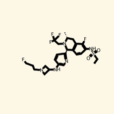 CCS(=O)(=O)Nc1ccc2c(c1F)C[C@@H](C)N(CC(F)(F)F)[C@@H]2c1ccc(NC2CN(CCCF)C2)cn1